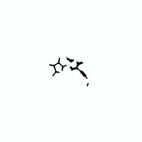 CBC#Cc1cn(C2OC(C)C(C)C2C)c(=O)[nH]c1=O